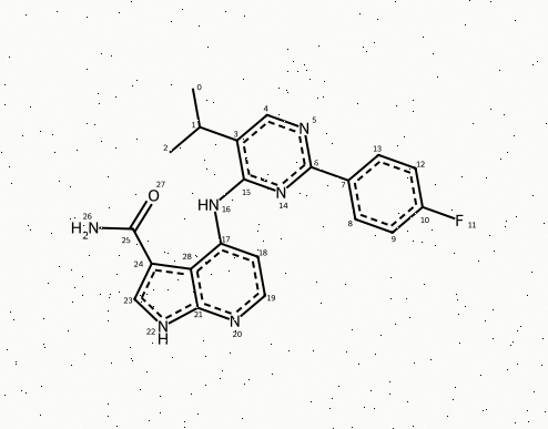 CC(C)c1cnc(-c2ccc(F)cc2)nc1Nc1ccnc2[nH]cc(C(N)=O)c12